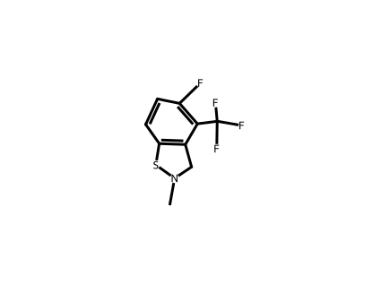 CN1Cc2c(ccc(F)c2C(F)(F)F)S1